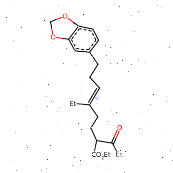 CCOC(=O)C(CC/C(=C/CCc1ccc2c(c1)OCO2)CC)C(=O)CC